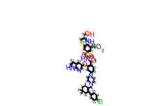 CC1(C)CCC(CN2CCN(c3ccc(C(=O)NS(=O)(=O)c4cc5c(c([N+](=O)[O-])c4)N[C@@H](CO)CS5)c(Oc4cnc5[nH]ccc5c4)c3)CC2)=C(c2ccc(Cl)cc2)C1